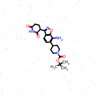 CC(C)(C)OC(=O)N1CCC(c2ccc3c(C4CCC(=O)NC4=O)noc3c2N)CC1